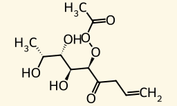 C=CCC(=O)[C@H](OOC(C)=O)[C@@H](O)[C@@H](O)[C@@H](C)O